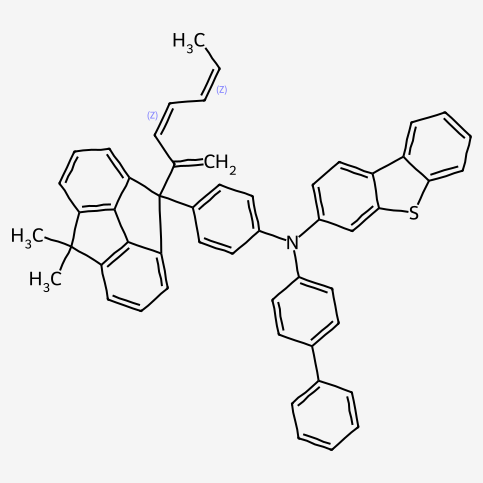 C=C(/C=C\C=C/C)C1(c2ccc(N(c3ccc(-c4ccccc4)cc3)c3ccc4c(c3)sc3ccccc34)cc2)c2cccc3c2-c2c(cccc21)C3(C)C